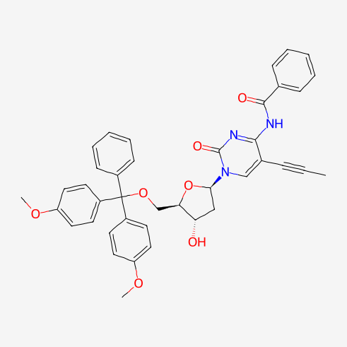 CC#Cc1cn([C@H]2C[C@H](O)[C@@H](COC(c3ccccc3)(c3ccc(OC)cc3)c3ccc(OC)cc3)O2)c(=O)nc1NC(=O)c1ccccc1